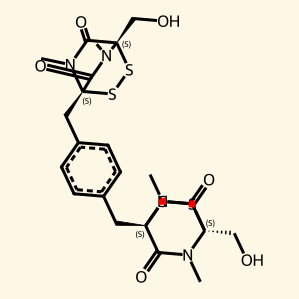 CN1C(=O)[C@]2(Cc3ccc(C[C@@]45SS[C@@](CO)(C(=O)N4C)N(C)C5=O)cc3)SS[C@@]1(CO)C(=O)N2C